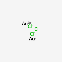 [Au+3].[Au].[Cl-].[Cl-].[Cl-]